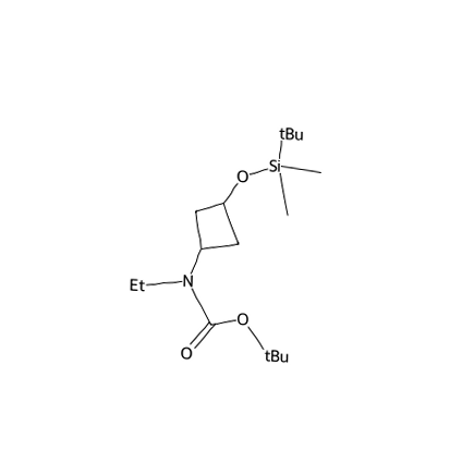 CCN(C(=O)OC(C)(C)C)C1CC(O[Si](C)(C)C(C)(C)C)C1